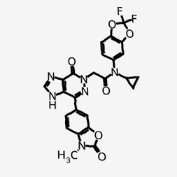 Cn1c(=O)oc2cc(-c3nn(CC(=O)N(c4ccc5c(c4)OC(F)(F)O5)C4CC4)c(=O)c4nc[nH]c34)ccc21